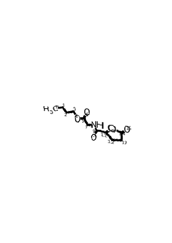 CCCCOC(=O)CNC(=O)C1CCC(=O)O1